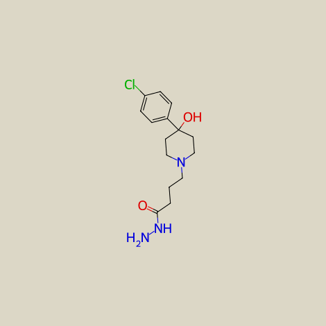 NNC(=O)CCCN1CCC(O)(c2ccc(Cl)cc2)CC1